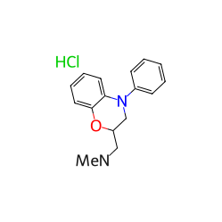 CNCC1CN(c2ccccc2)c2ccccc2O1.Cl